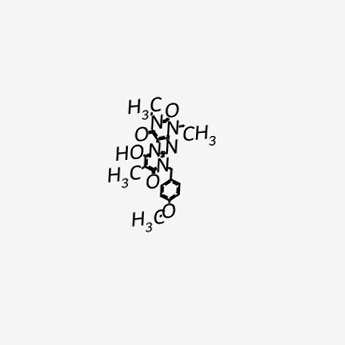 CCn1c(=O)c2c(nc3n(Cc4ccc(OC)cc4)c(=O)c(C)c(O)n23)n(CC)c1=O